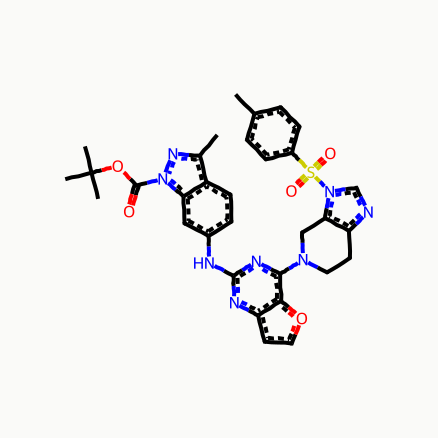 Cc1ccc(S(=O)(=O)n2cnc3c2CN(c2nc(Nc4ccc5c(C)nn(C(=O)OC(C)(C)C)c5c4)nc4ccoc24)CC3)cc1